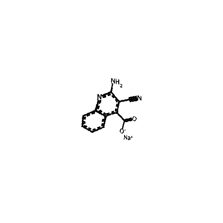 N#Cc1c(N)nc2ccccc2c1C(=O)[O-].[Na+]